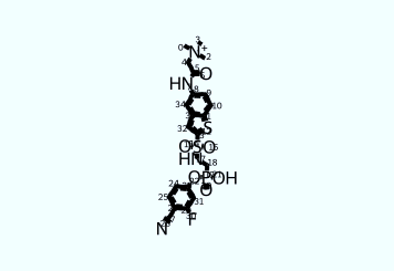 C[N+](C)(C)CC(=O)Nc1ccc2sc(S(=O)(=O)NCP(=O)(O)Oc3ccc(C#N)c(F)c3)cc2c1